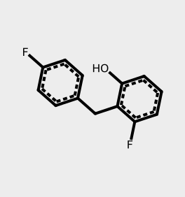 Oc1cccc(F)c1Cc1ccc(F)cc1